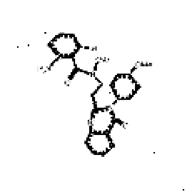 COc1ccc(-n2c(CCN(C=O)C(=O)c3c(C)cccc3N)nc3ccccc3c2=O)cc1